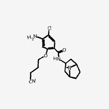 CN1C2CCC1CC(NC(=O)c1cc(Cl)c(N)cc1OCCCC#N)C2